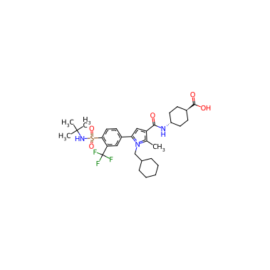 Cc1c(C(=O)N[C@H]2CC[C@H](C(=O)O)CC2)cc(-c2ccc(S(=O)(=O)NC(C)(C)C)c(C(F)(F)F)c2)n1CC1CCCCC1